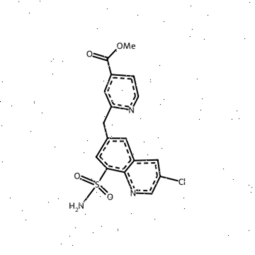 COC(=O)c1ccnc(Cc2cc(S(N)(=O)=O)c3ncc(Cl)cc3c2)c1